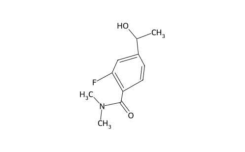 CC(O)c1ccc(C(=O)N(C)C)c(F)c1